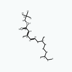 CCC(C)CCCC(C)CC=CC(C)=CC(=O)OCC(C)(C)C